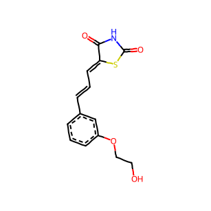 O=C1NC(=O)C(=CC=Cc2cccc(OCCO)c2)S1